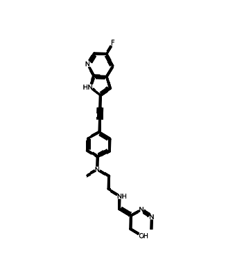 C/N=N\C(=C/NCCN(C)c1ccc(C#Cc2cc3cc(F)cnc3[nH]2)cc1)CO